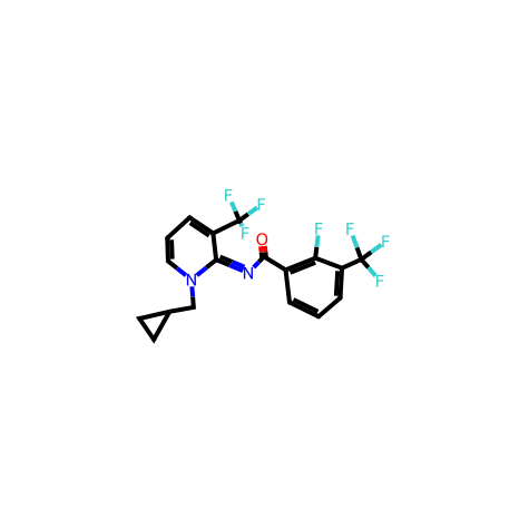 O=C(/N=c1\c(C(F)(F)F)cccn1CC1CC1)c1cccc(C(F)(F)F)c1F